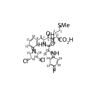 CSCC[C@H](NC(=O)[C@H](Cc1cccc(N(CCCl)CCCl)c1)NC(=O)C(C)Nc1ccc(F)cc1)C(=O)O